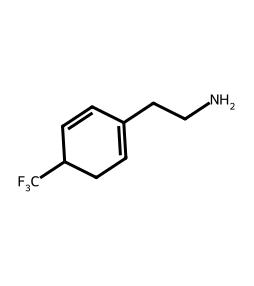 NCCC1=CCC(C(F)(F)F)C=C1